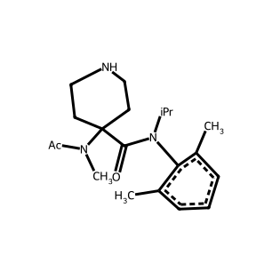 CC(=O)N(C)C1(C(=O)N(c2c(C)cccc2C)C(C)C)CCNCC1